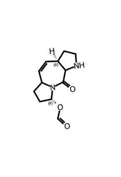 O=CO[C@@H]1CCC2C=C[C@H]3CCNC3C(=O)N21